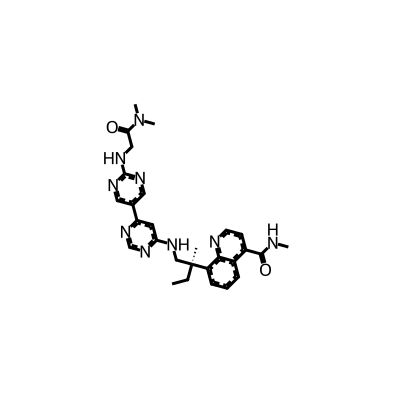 CC[C@@](C)(CNc1cc(-c2cnc(NCC(=O)N(C)C)nc2)ncn1)c1cccc2c(C(=O)NC)ccnc12